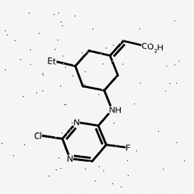 CCC1CC(=CC(=O)O)CC(Nc2nc(Cl)ncc2F)C1